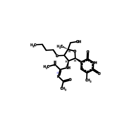 CCCCOC1[C@H](N/C(=N\C(C)=O)NC)[C@H](n2cc(C)c(=O)[nH]c2=O)O[C@]1(C)CO